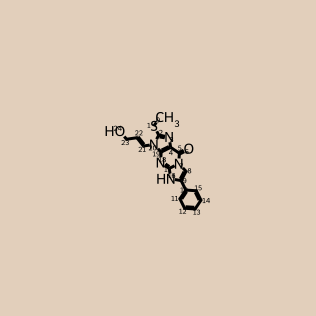 CSc1nc2c(=O)n3cc(-c4ccccc4)[nH]c3nc2n1C=CCO